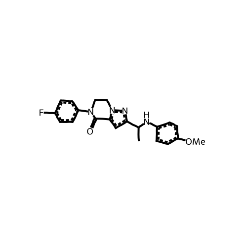 COc1ccc(NC(C)c2cc3n(n2)CCN(c2ccc(F)cc2)C3=O)cc1